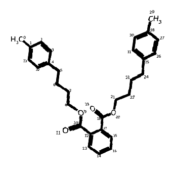 Cc1ccc(CCCCOC(=O)c2ccccc2C(=O)OCCCCc2ccc(C)cc2)cc1